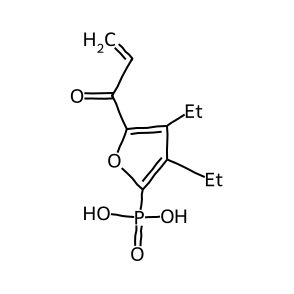 C=CC(=O)c1oc(P(=O)(O)O)c(CC)c1CC